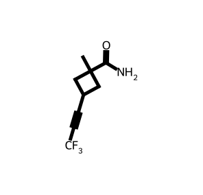 CC1(C(N)=O)CC(C#CC(F)(F)F)C1